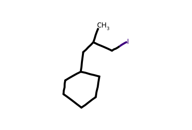 CC(CI)CC1CCCCC1